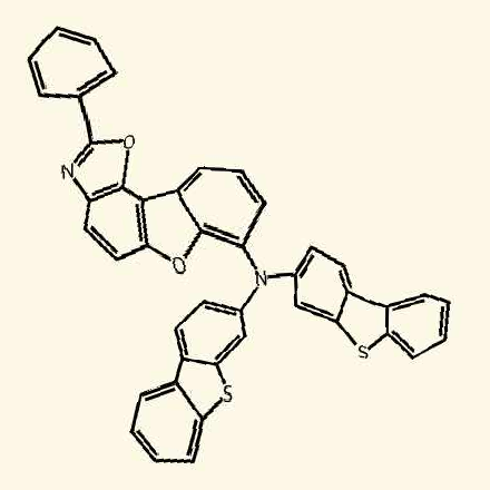 c1ccc(-c2nc3ccc4oc5c(N(c6ccc7c(c6)sc6ccccc67)c6ccc7c(c6)sc6ccccc67)cccc5c4c3o2)cc1